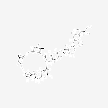 C=C1C[C@@H]2CC[C@@]34C[C@@H]5O[C@H]6[C@@H](O3)[C@H]3O[C@H](CC[C@@H]3O[C@H]6C5O4)CC(=O)O[C@@H]3[C@@H](C)[C@@H]4O[C@@H]5C[C@@]6(C[C@@H]7O[C@]8(C[C@H](C)[C@@H]9O[C@@H]%10[C@@H]([C@@H](O)CO)CO[C@@H]%10C[C@@H]9O8)C[C@H](C)[C@@H]7O6)O[C@@H]5C[C@@H]4O[C@H]3C[C@H]3O[C@@H](CC[C@@H]1O2)C[C@@H](C)C3=C